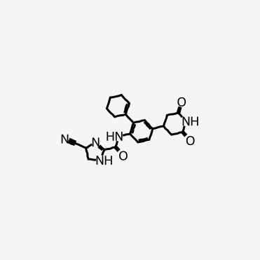 N#CC1CNC(C(=O)Nc2ccc(C3CC(=O)NC(=O)C3)cc2C2=CCCCC2)=N1